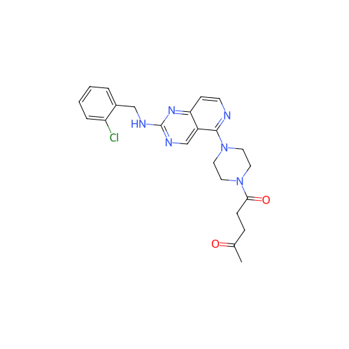 CC(=O)CCC(=O)N1CCN(c2nccc3nc(NCc4ccccc4Cl)ncc23)CC1